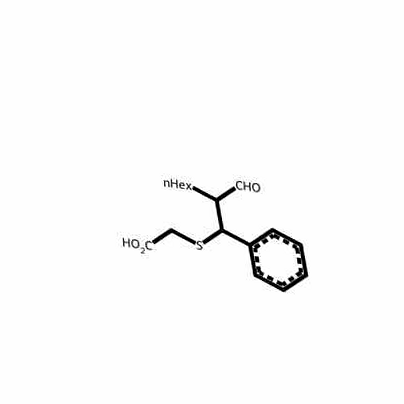 CCCCCCC(C=O)C(SCC(=O)O)c1ccccc1